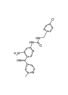 Cc1cc(C(=N)c2cnc(NC(=O)NCc3ccc(Cl)cc3)cc2N)ccn1